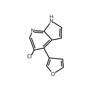 Clc1cnc2[nH]ccc2c1-c1ccoc1